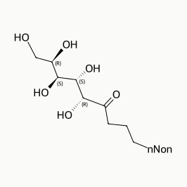 CCCCCCCCCCCCC(=O)[C@H](O)[C@@H](O)[C@@H](O)[C@H](O)CO